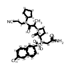 CC(C(=O)N(CCC#N)C1CCCC1)N1CCC(N(CC(N)=O)S(=O)(=O)c2ccc3cc(Cl)ccc3c2)C1=O